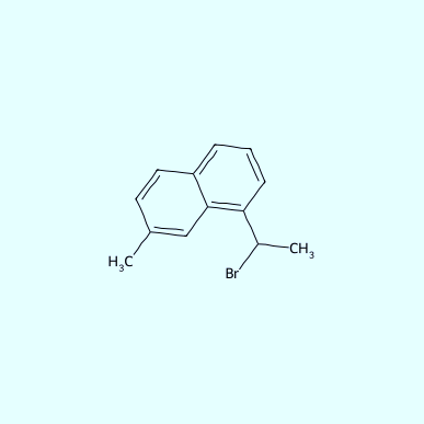 Cc1ccc2cccc(C(C)Br)c2c1